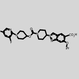 CC(C)Oc1cc2nn(C3CCN(C(=O)OC4CCN(c5ncc(Br)cc5F)CC4)CC3)cc2cc1C(=O)O